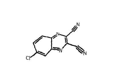 N#Cc1nc2ccc(Cl)cc2nc1C#N